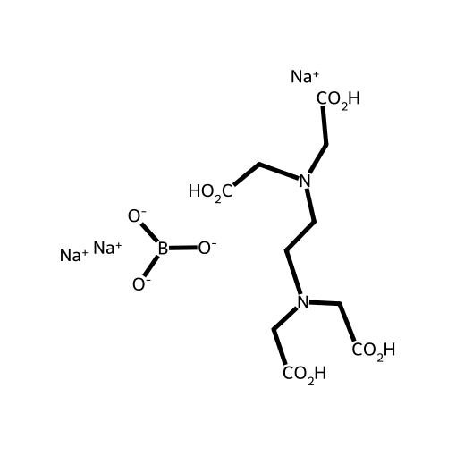 O=C(O)CN(CCN(CC(=O)O)CC(=O)O)CC(=O)O.[Na+].[Na+].[Na+].[O-]B([O-])[O-]